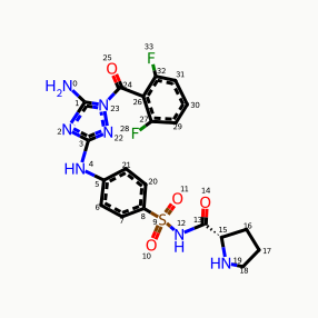 Nc1nc(Nc2ccc(S(=O)(=O)NC(=O)[C@@H]3CCCN3)cc2)nn1C(=O)c1c(F)cccc1F